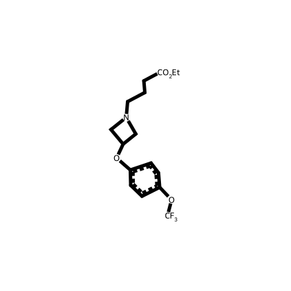 CCOC(=O)CCCN1CC(Oc2ccc(OC(F)(F)F)cc2)C1